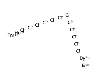 [Cl-].[Cl-].[Cl-].[Cl-].[Cl-].[Cl-].[Cl-].[Cl-].[Cl-].[Cl-].[Cl-].[Cl-].[Dy+3].[Er+3].[Ho+3].[Tm+3]